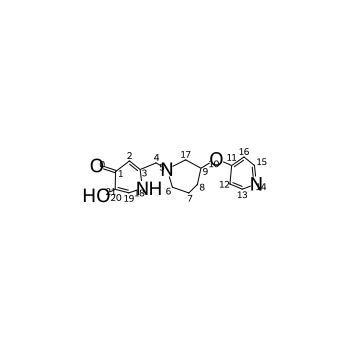 O=c1cc(CN2CCCC(Oc3ccncc3)C2)[nH]cc1O